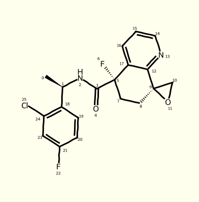 C[C@@H](NC(=O)[C@]1(F)CC[C@@]2(CO2)c2ncccc21)c1ccc(F)cc1Cl